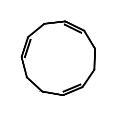 [CH]1C=CCCC=CCC=CC1